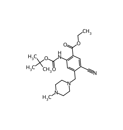 CCOC(=O)c1cc(C#N)c(CN2CCN(C)CC2)cc1NC(=O)OC(C)(C)C